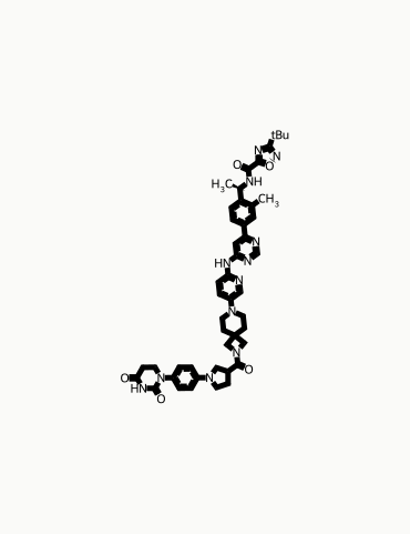 Cc1cc(-c2cc(Nc3ccc(N4CCC5(CC4)CN(C(=O)C4CCN(c6ccc(N7CCC(=O)NC7=O)cc6)C4)C5)cn3)ncn2)ccc1[C@@H](C)NC(=O)c1nc(C(C)(C)C)no1